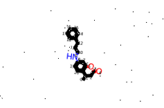 CC1CC(=O)Oc2cc(NCCCc3ccccc3)ccc21